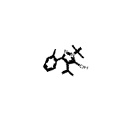 Cc1ccccc1-c1nn(C(C)(C)C)c(O)c1C(C)C